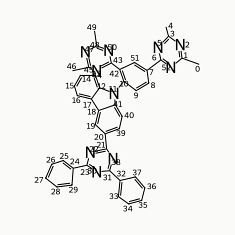 Cc1nc(C)nc(-c2ccc(-n3c4ccccc4c4cc(-c5nc(-c6ccccc6)nc(-c6ccccc6)n5)ccc43)c(-c3nc(C)nc(C)n3)c2)n1